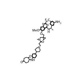 COc1cc2nc(C)nc(N[C@H](C)c3cc(N)cc(C(F)(F)F)c3)c2cc1OCC1(CN(C)C(=O)CCN2CCC(c3ccc(NC4CCC(=O)CCC4=O)cc3)CC2)CC1